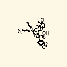 CCCCN(CCCC[N+](C)(C)C)C(=O)CN1C[C@H](c2ccc3c(c2)OCO3)[C@@H](C(=O)O)[C@@H]1CCN1CCC(=O)N(C)C1=O